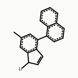 [Li][CH]1C=Cc2c(-c3cccc4ccccc34)cc(C)cc21